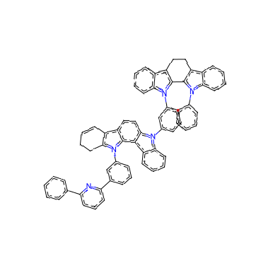 C1=Cc2c(n(-c3cccc(-c4cccc(-c5ccccc5)n4)c3)c3c2ccc2c3c3ccccc3n2-c2cccc(-n3c4c(c5ccccc53)CCc3c-4n(-c4ccccc4)c4ccccc34)c2)CC1